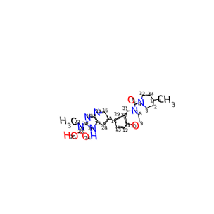 CC1CCN(C(=O)N2CCOc3ccc(-c4cnc5nc(N(C)C(=O)O)[nH]c5c4)cc3C2)CC1